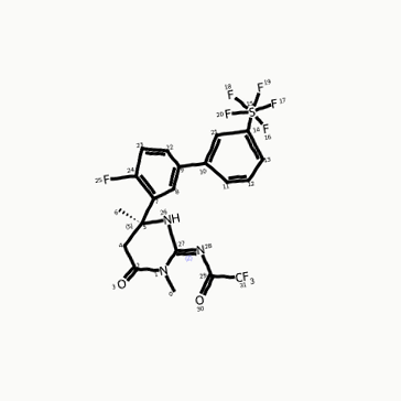 CN1C(=O)C[C@@](C)(c2cc(-c3cccc(S(F)(F)(F)(F)F)c3)ccc2F)N/C1=N/C(=O)C(F)(F)F